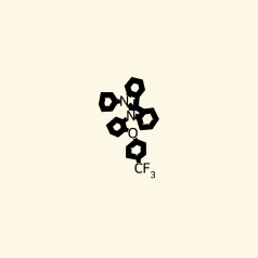 FC(F)(F)c1ccc(Oc2ccccc2-n2c3ccccc3c3c4ccccc4n(-c4ccccc4)c32)cc1